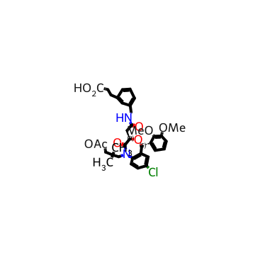 COc1cccc([C@H]2O[C@H](CC(=O)NCc3cccc(CCC(=O)O)c3)C(=O)N(CC(C)(C)COC(C)=O)c3ccc(Cl)cc32)c1OC